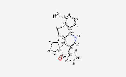 N#Cc1cccc2c1ccc1c3c(cnc12)C1(CCCC1)C(=O)C31CCCC1